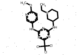 CCN1CCCC(Nc2nc(Nc3ccc(OC)nc3)nc(C(Cl)(Cl)Cl)n2)C1